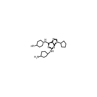 CCCC1CCN(Nc2nc(NC3CCC(N)CC3)nc3c2ncn3C2CCCC2)CC1